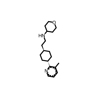 Cc1cccnc1[C@H]1CC[C@H](CCNC2CCOCC2)CC1